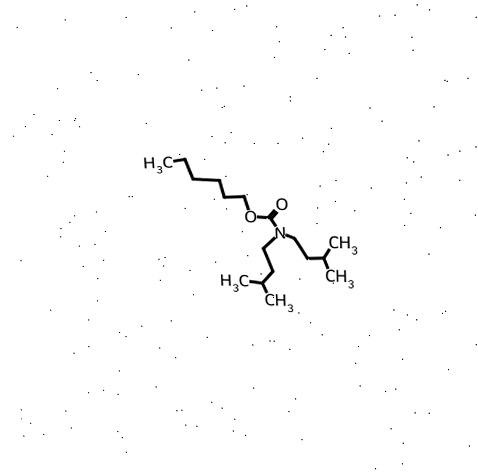 CCCCCCOC(=O)N(CCC(C)C)CCC(C)C